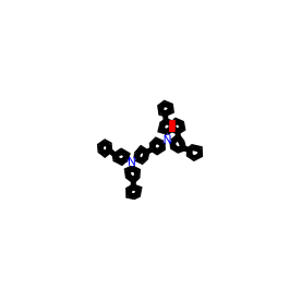 C1=CC(c2ccc(N(c3ccc(-c4ccccc4)cc3)c3ccc(-c4ccc(N(c5ccc(-c6ccccc6)cc5)c5ccc(-c6ccccc6)cc5)cc4)cc3)c(-c3ccccc3)c2)=CCC1